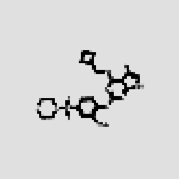 COc1cc(S(=O)(=O)N2CCOCC2)ccc1Nc1nc(NCC2CCC2)c2c(Cl)c[nH]c2n1